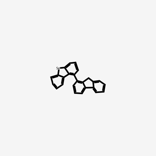 c1ccc2c(c1)Cc1c-2cccc1-c1cccc2[se]c3ccccc3c12